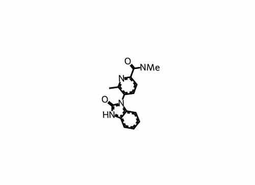 CNC(=O)c1ccc(-n2c(=O)[nH]c3ccccc32)c(C)n1